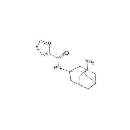 NC12CC3CC(C1)CC(NC(=O)c1cscn1)(C3)C2